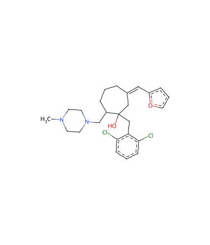 CN1CCN(CC2CCCC(=Cc3ccco3)CC2(O)Cc2c(Cl)cccc2Cl)CC1